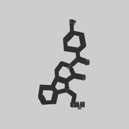 O=C(O)Cn1c2c(c3ccccc31)CCN(C(=O)c1ccc(Br)cc1)C2=O